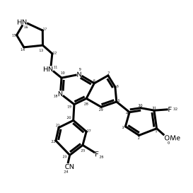 COc1ccc(-c2ccc3nc(NCC4CCNC4)nc(-c4ccc(C#N)c(F)c4)c3c2)cc1F